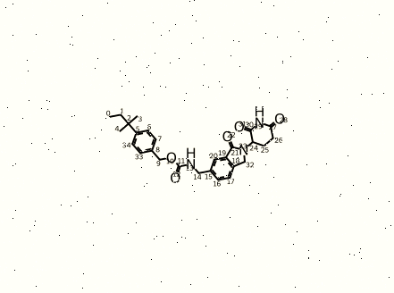 CCC(C)(C)c1ccc(COC(=O)NCc2ccc3c(c2)C(=O)N(C2CCC(=O)NC2=O)C3)cc1